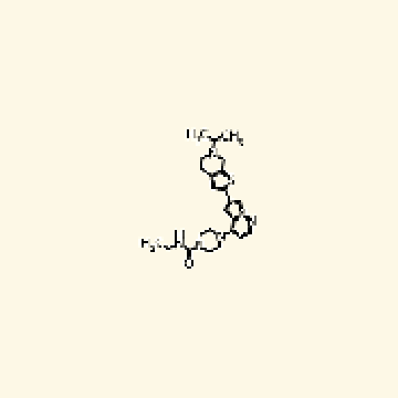 CCNC(=O)N1CCN(c2ccnn3cc(-c4cc5c(s4)CN(C(C)C)CC5)cc23)CC1